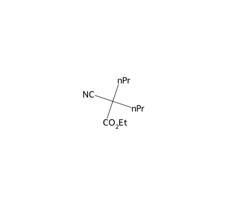 CCCC(C#N)(CCC)C(=O)OCC